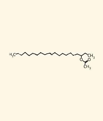 CCCCCCCCCCCCCCCCCCC(CC)OC(C)=O